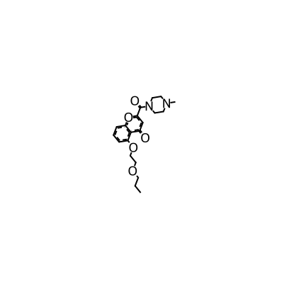 CCCOCCOc1cccc2oc(C(=O)N3CCN(C)CC3)cc(=O)c12